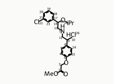 COC(=O)COc1ccc(C(C)CNCC(OC(C)C)c2cccc(Cl)c2)cc1.Cl